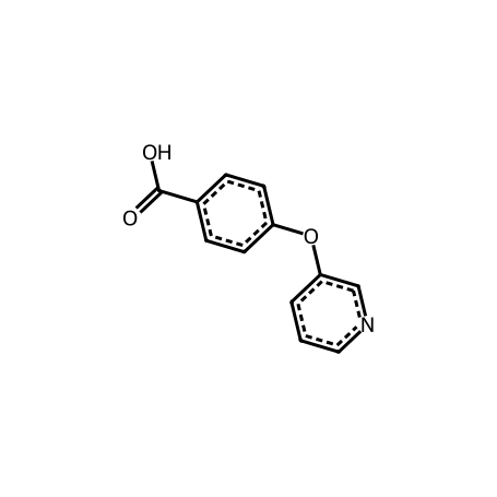 O=C(O)c1ccc(Oc2cccnc2)cc1